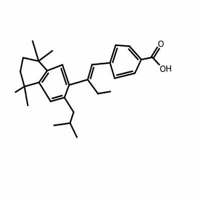 CC/C(=C\c1ccc(C(=O)O)cc1)c1cc2c(cc1CC(C)C)C(C)(C)CCC2(C)C